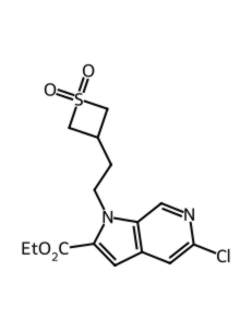 CCOC(=O)c1cc2cc(Cl)ncc2n1CCC1CS(=O)(=O)C1